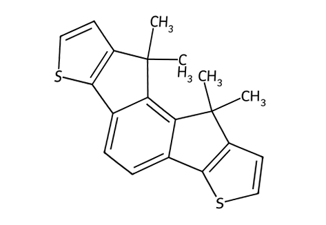 CC1(C)c2ccsc2-c2ccc3c(c21)C(C)(C)c1ccsc1-3